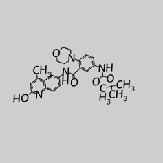 Cc1cc(O)nc2ccc(NC(=O)c3cc(NC(=O)OC(C)(C)C)ccc3N3CCOCC3)cc12